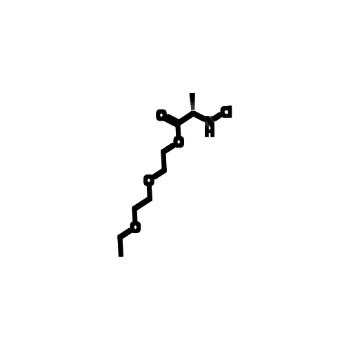 CCOCCOCCOC(=O)[C@H](C)NCl